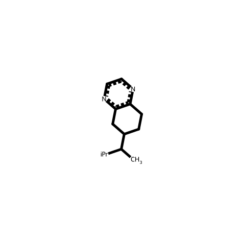 CC(C)C(C)C1CCc2nccnc2C1